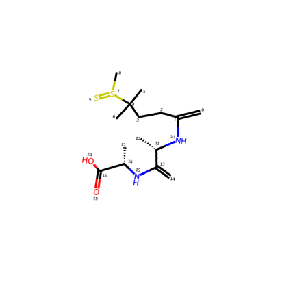 C=C(CCC(C)(C)S(C)=S)N[C@@H](C)C(=C)N[C@@H](C)C(=O)O